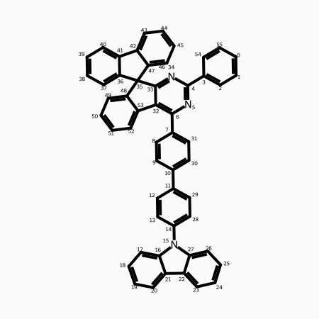 c1ccc(-c2nc(-c3ccc(-c4ccc(-n5c6ccccc6c6ccccc65)cc4)cc3)c3c(n2)C2(c4ccccc4-c4ccccc42)c2ccccc2-3)cc1